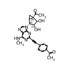 CNc1nc(C#Cc2ccc(C(C)=O)cc2)nc2c1ncn2[C@@H]1C2C[C@]2(C(C)=O)C(O)[C@H]1O